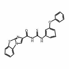 O=C(NC(=S)Nc1cccc(Oc2ccccc2)c1)c1cn2c(n1)sc1ccccc12